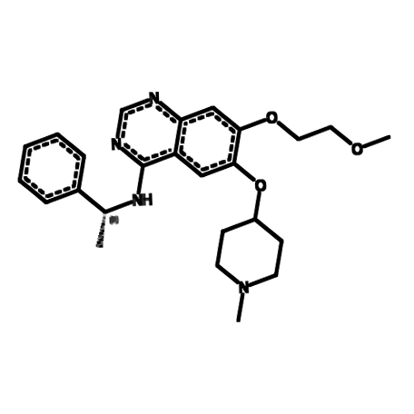 COCCOc1cc2ncnc(N[C@H](C)c3ccccc3)c2cc1OC1CCN(C)CC1